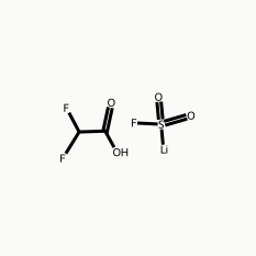 O=C(O)C(F)F.[Li][S](=O)(=O)F